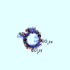 CCCCCCCCCCCC(=O)N[C@H]1C[C@H]2C(=O)N[C@@H](CCC(N)=O)C(=O)NC(=O)N[C@@H](CC(=O)O)C(=O)N3CCC[C@H]3C(=O)N[C@H](CCC(=O)O)C(=O)NC(=O)NC(=O)N[C@@H](CCC(=O)O)C(=O)NC(=O)N[C@H](CC(C)C)C(=O)N3CCC[C@@H]3C(=O)N2C1